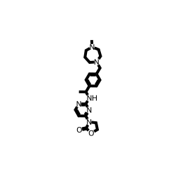 CC(Nc1nccc(N2CCOC2=O)n1)c1ccc(CN2CCCN(C)CC2)cc1